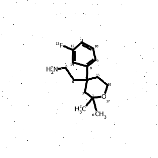 CC1(C)CC(CCN)(c2cccc(F)c2)CCO1